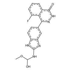 COC(O)Nc1nc2cc(-c3n[nH]c(=O)c4cccc(F)c34)ccc2[nH]1